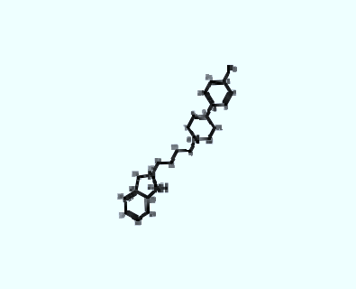 Fc1ccc(C2=CCN(CCCCN3Cc4ccccc4N3)CC2)cc1